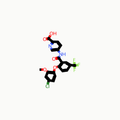 COc1cc(Cl)ccc1Oc1ccc(C(F)(F)F)cc1C(=O)Nc1ccc(C(=O)O)nc1